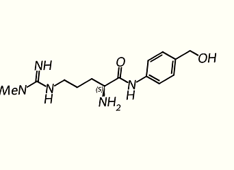 CNC(=N)NCCC[C@H](N)C(=O)Nc1ccc(CO)cc1